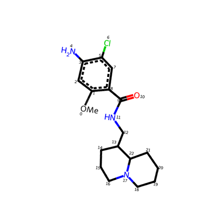 COc1cc(N)c(Cl)cc1C(=O)NCC1CCCN2CCCCC12